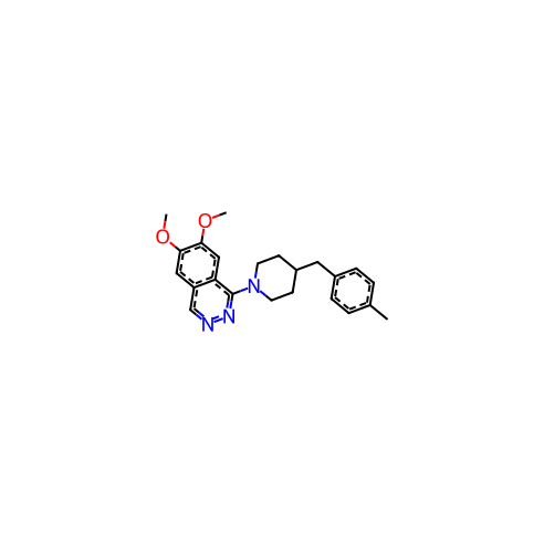 COc1cc2cnnc(N3CCC(Cc4ccc(C)cc4)CC3)c2cc1OC